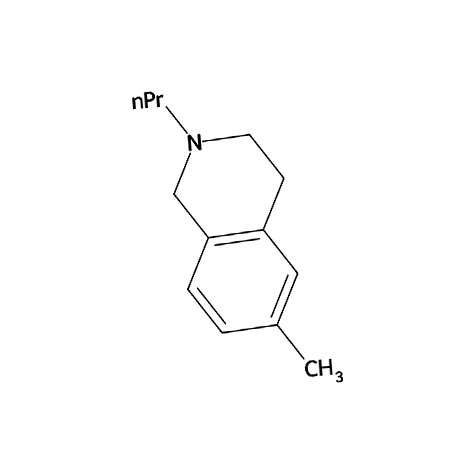 CCCN1CCc2cc(C)ccc2C1